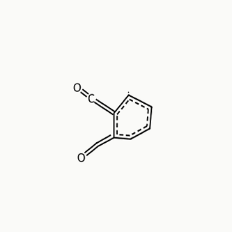 O=C=c1[c]cccc1=C=O